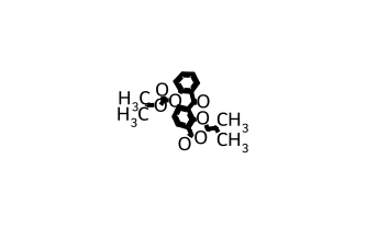 CC(C)OC(=O)Oc1ccccc1C(=O)c1cccc([C]=O)c1OC(=O)C(C)C